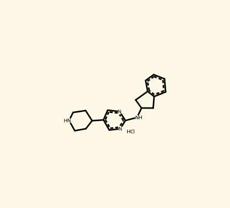 Cl.c1ccc2c(c1)CC(Nc1ncc(C3CCNCC3)cn1)C2